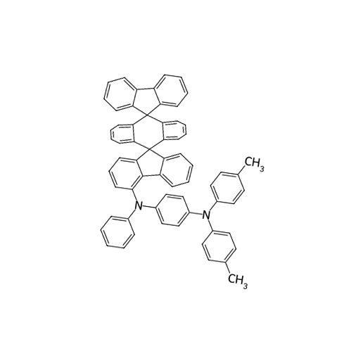 Cc1ccc(N(c2ccc(C)cc2)c2ccc(N(c3ccccc3)c3cccc4c3-c3ccccc3C43c4ccccc4C4(c5ccccc5-c5ccccc54)c4ccccc43)cc2)cc1